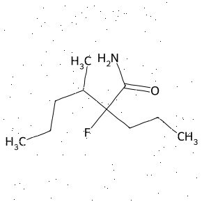 CCCC(C)C(F)(CCC)C(N)=O